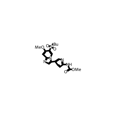 COC(=O)Nc1ccc(-c2cnc3cc(OC)c(S(=O)(=O)C(C)(C)C)cn23)cn1